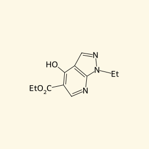 CCOC(=O)c1cnc2c(cnn2CC)c1O